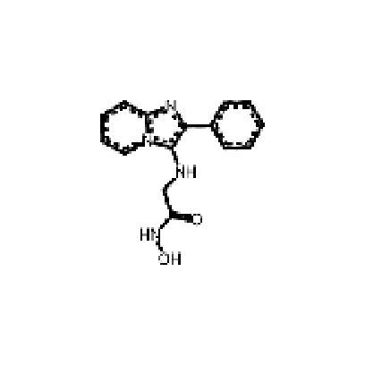 O=C(CNc1c(-c2ccccc2)nc2ccccn12)NO